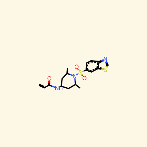 C=CC(=O)NC1CC(C)N(S(=O)(=O)c2ccc3ncsc3c2)C(C)C1